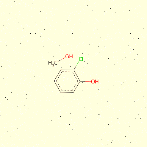 CO.Oc1ccccc1Cl